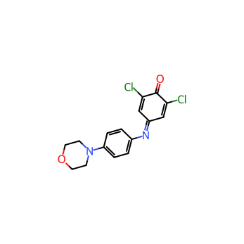 O=C1C(Cl)=CC(=Nc2ccc(N3CCOCC3)cc2)C=C1Cl